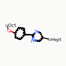 CCCCCCCCOc1ccc(-c2ncc(CCCCCCC)cn2)cc1